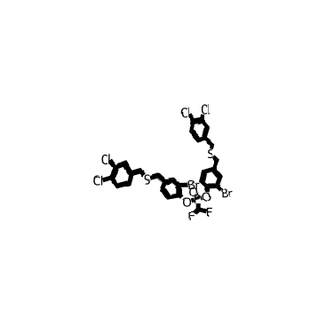 O=P(Oc1ccc(CSCc2ccc(Cl)c(Cl)c2)cc1Br)(Oc1ccc(CSCc2ccc(Cl)c(Cl)c2)cc1Br)C(F)F